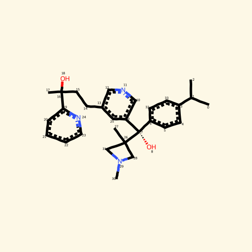 CC(C)c1ccc([C@](O)(c2cncc(CCC(C)(O)c3ccccn3)c2)C2(C)CN(C)C2)cc1